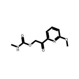 CNC(=O)OCC(=O)c1cccc(OC)n1